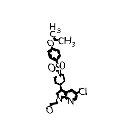 CC(C)Oc1ccc(S(=O)(=O)N2CCC(c3cn(CC=O)c4ncc(Cl)cc34)CC2)cc1